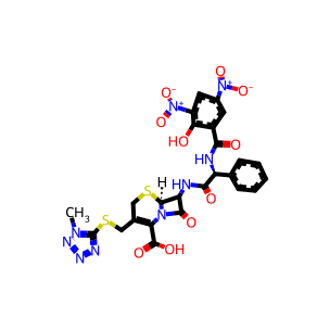 Cn1nnnc1SCC1=C(C(=O)O)N2C(=O)C(NC(=O)[C@@H](NC(=O)c3cc([N+](=O)[O-])cc([N+](=O)[O-])c3O)c3ccccc3)[C@@H]2SC1